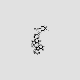 CN1CCC(F)(F)C[C@H]1COc1ncc2c3c(c(-c4ncc(F)c5sc(NC(=O)O)c(C#N)c45)c(F)c2n1)COC3